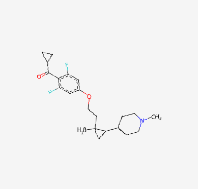 BC1(CCOc2cc(F)c(C(=O)C3CC3)c(F)c2)CC1C1CCN(C)CC1